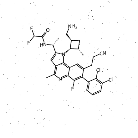 Cc1nc2c(F)c(-c3cccc(Cl)c3Cl)c(CCC#N)cc2c2c1cc([C@@H](C)NC(=O)C(F)F)n2[C@H]1[C@@H](CN)C[C@@H]1C